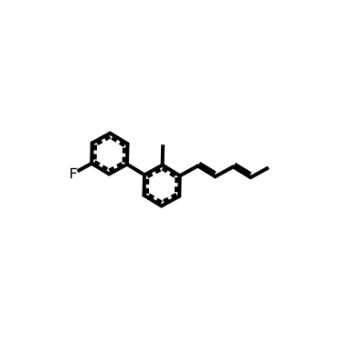 C/C=C/C=C/c1cccc(-c2cccc(F)c2)c1C